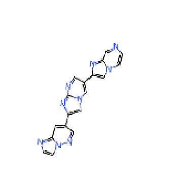 c1cn2cc(-c3cnc4nc(-c5cnn6ccnc6c5)cn4c3)nc2cn1